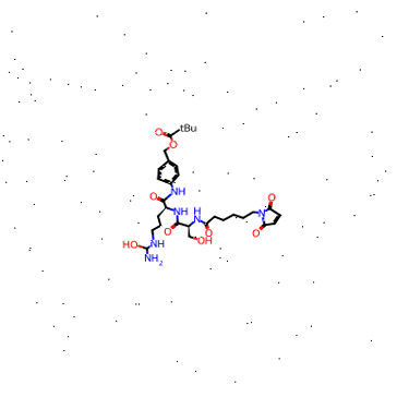 CC(C)(C)C(=O)OCc1ccc(NC(=O)[C@H](CCCNC(N)O)NC(=O)[C@H](CO)NC(=O)CCCCCN2C(=O)C=CC2=O)cc1